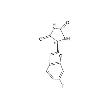 O=C1NC(=O)[C@H](c2cc3ccc(F)cc3o2)N1